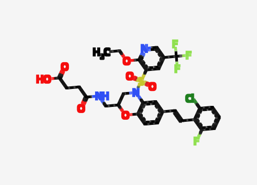 CCOc1ncc(C(F)(F)F)cc1S(=O)(=O)N1CC(CNC(=O)CCC(=O)O)Oc2ccc(C=Cc3c(F)cccc3Cl)cc21